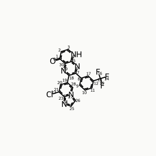 O=c1cc[nH]c2nc(-c3cccc(C(F)(F)F)c3)c(-c3cc(Cl)c4nccn4c3)nc12